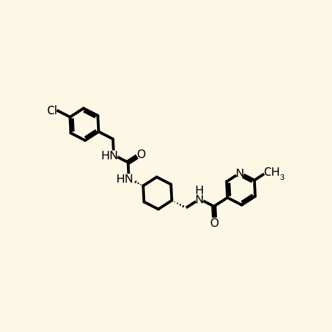 Cc1ccc(C(=O)NC[C@H]2CC[C@@H](NC(=O)NCc3ccc(Cl)cc3)CC2)cn1